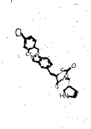 O=C1S/C(=C\c2ccc3c(cnn3Cc3ccc(Cl)cc3C(F)(F)F)c2)C(=O)N1C[C@@H]1CCNC1